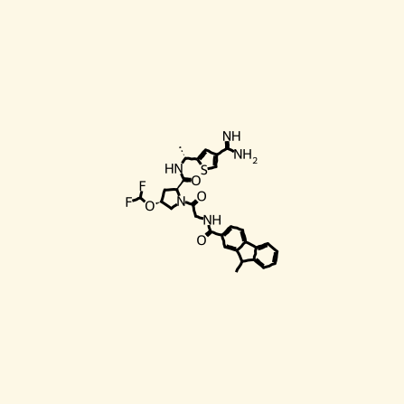 CC1c2ccccc2-c2ccc(C(=O)NCC(=O)N3C[C@H](OC(F)F)C[C@H]3C(=O)N[C@H](C)c3cc(C(=N)N)cs3)cc21